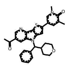 CC(=O)c1cnc2c3sc(-c4cc(C)c(=O)n(C)c4)cc3n(C(c3ccccc3)C3CCOCC3)c2c1